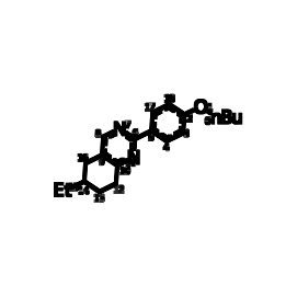 CCCCOc1ccc(-c2ncc3c(n2)CCC(CC)C3)cc1